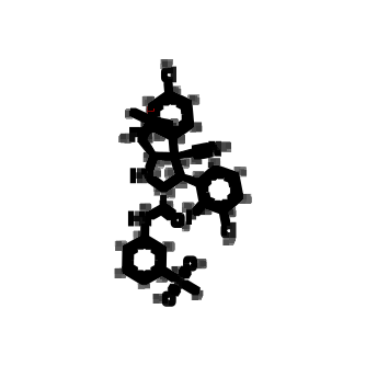 CC(C)(C)C[C@@H]1N[C@@H](C(=O)Nc2cccc(S(C)(=O)=O)c2)[C@H](c2cccc(Cl)c2F)[C@@]1(C#N)c1ccc(Cl)cc1F